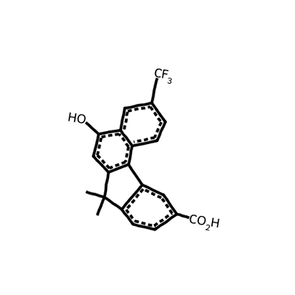 CC1(C)c2ccc(C(=O)O)cc2-c2c1cc(O)c1cc(C(F)(F)F)ccc21